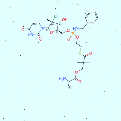 CC(C)C(N)C(=O)OCC(C)(C)C(=O)SCCOP(=O)(NCc1ccccc1)OC[C@H]1O[C@@H](n2ccc(=O)[nH]c2=O)[C@](C)(Cl)[C@@H]1O